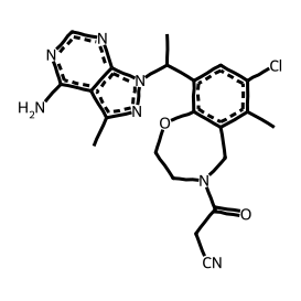 Cc1c(Cl)cc(C(C)n2nc(C)c3c(N)ncnc32)c2c1CN(C(=O)CC#N)CCO2